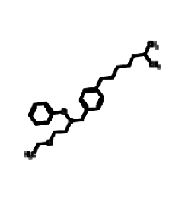 CCOCCN(Cc1ccc(CCCCCC(C)C)cc1)Oc1ccccc1